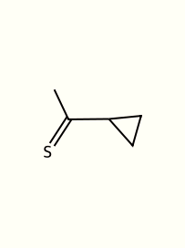 CC(=S)C1CC1